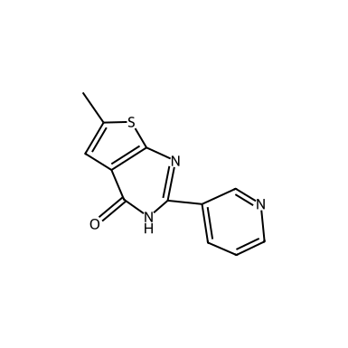 Cc1cc2c(=O)[nH]c(-c3cccnc3)nc2s1